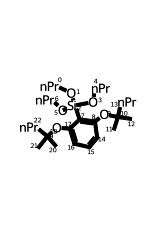 CCCO[Si](OCCC)(OCCC)c1c(OC(C)(C)CCC)cccc1OC(C)(C)CCC